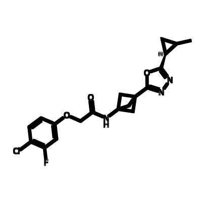 CC1C[C@@H]1c1nnc(C23CC(NC(=O)COc4ccc(Cl)c(F)c4)(C2)C3)o1